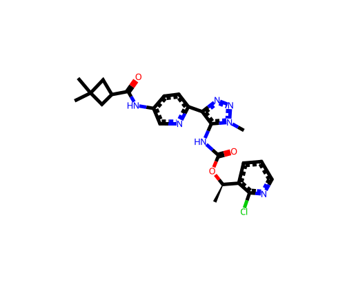 C[C@@H](OC(=O)Nc1c(-c2ccc(NC(=O)C3CC(C)(C)C3)cn2)nnn1C)c1cccnc1Cl